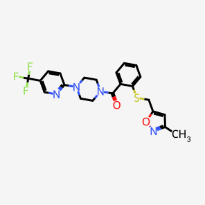 Cc1cc(CSc2ccccc2C(=O)N2CCN(c3ccc(C(F)(F)F)cn3)CC2)on1